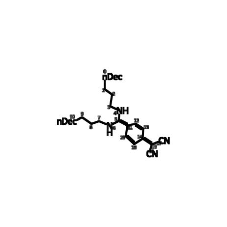 CCCCCCCCCCCCCNC(NCCCCCCCCCCCCC)=c1ccc(=C(C#N)C#N)cc1